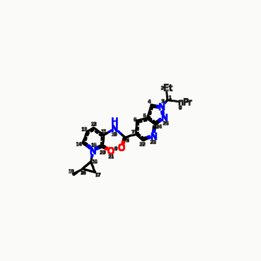 CCCC(CC)n1cc2cc(C(=O)Nc3cccn([C@H]4C[C@H]4C)c3=O)cnc2n1